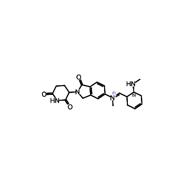 CN[C@H]1CC=CCC1/C=[N+](\C)c1ccc2c(c1)CN(C1CCC(=O)NC1=O)C2=O